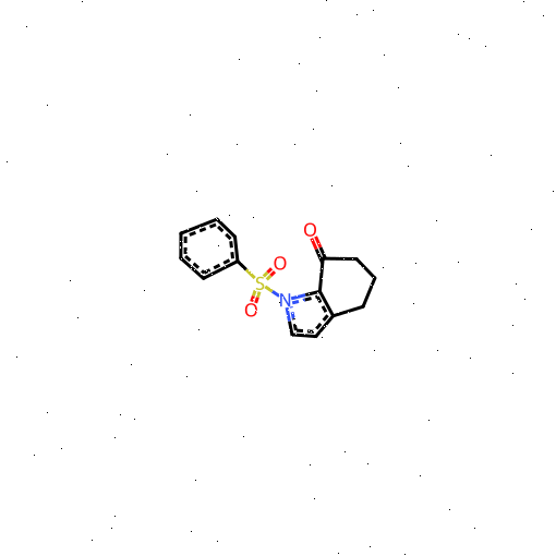 O=C1CCCc2ccn(S(=O)(=O)c3ccccc3)c21